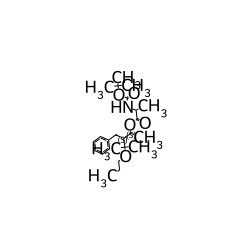 CCCOC(C)(C)[C@@H](Cc1ccccc1)[C@H](C)OC(=O)C(C)NC(=O)OC(C)(C)C